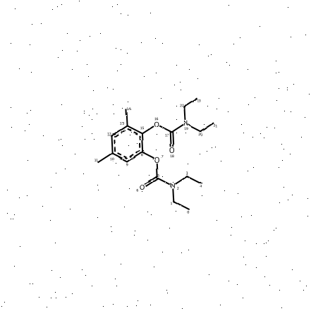 CCN(CC)C(=O)Oc1cc(C)cc(C)c1OC(=O)N(CC)CC